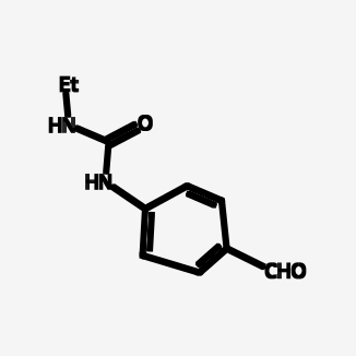 CCNC(=O)Nc1ccc(C=O)cc1